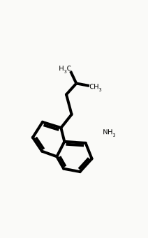 CC(C)CCc1cccc2ccccc12.N